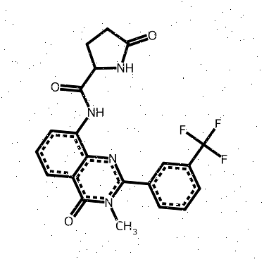 Cn1c(-c2cccc(C(F)(F)F)c2)nc2c(NC(=O)C3CCC(=O)N3)cccc2c1=O